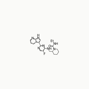 CCNC(=O)N1CCCCC1CNc1nc(-c2c[nH]c3ncccc23)ncc1F